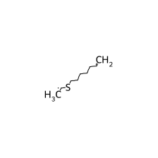 C=CCCCCCS[CH]C